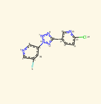 Fc1cncc(-n2nnc(-c3ccc(Cl)nc3)n2)c1